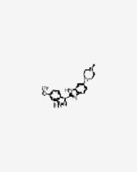 CC(C)Oc1ccc2c(-c3nc4ccc(N5CCN(C)CC5)cc4[nH]3)n[nH]c2c1